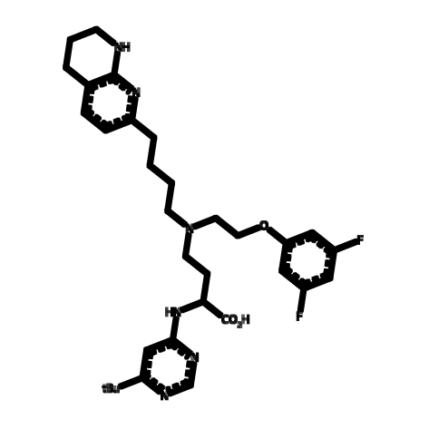 CC(C)(C)c1cc(NC(CCN(CCCCc2ccc3c(n2)NCCC3)CCOc2cc(F)cc(F)c2)C(=O)O)ncn1